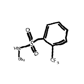 CC(C)(C)NS(=O)(=O)c1ccccc1C(F)(F)F